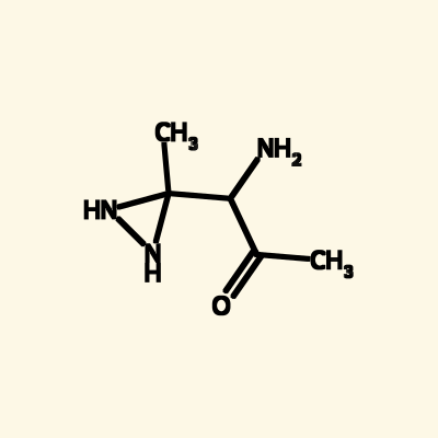 CC(=O)C(N)C1(C)NN1